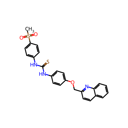 CS(=O)(=O)c1ccc(NC(=S)Nc2ccc(OCc3ccc4ccccc4n3)cc2)cc1